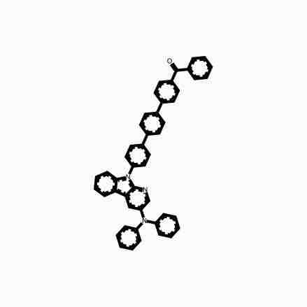 O=C(c1ccccc1)c1ccc(-c2ccc(-c3ccc(-n4c5ccccc5c5cc(N(c6ccccc6)c6ccccc6)cnc54)cc3)cc2)cc1